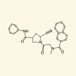 CN(CC(=O)N1CC(C(=O)Nc2ccccc2)CC1C#N)C(=O)c1ccc2ccccc2c1